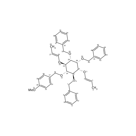 CC=CO[C@@H]1[C@@H](OCc2ccccc2)[C@H](OCc2ccc(OC)cc2)[C@@H](O/C=C/C)[C@H](OCc2ccccc2)[C@@H]1OCc1ccccc1